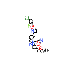 COC(=O)c1ccc2nc(Cc3ccc(-c4cccc(OCc5ccc(Cl)cc5F)n4)cc3)n(Cc3cnco3)c2c1